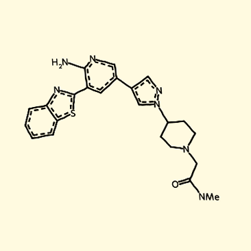 CNC(=O)CN1CCC(n2cc(-c3cnc(N)c(-c4nc5ccccc5s4)c3)cn2)CC1